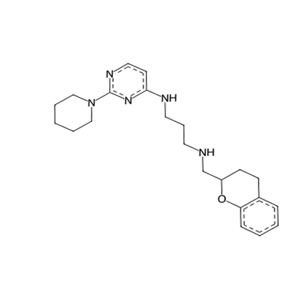 c1ccc2c(c1)CCC(CNCCCNc1ccnc(N3CCCCC3)n1)O2